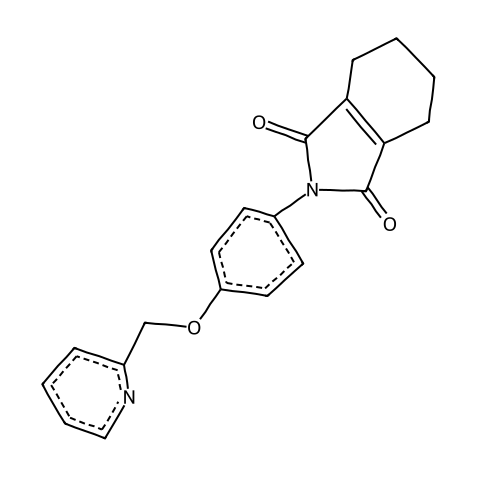 O=C1C2=C(CCCC2)C(=O)N1c1ccc(OCc2ccccn2)cc1